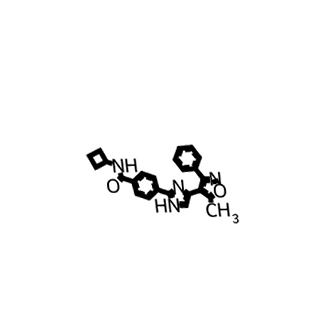 Cc1onc(-c2ccccc2)c1-c1c[nH]c(-c2ccc(C(=O)NC3CCC3)cc2)n1